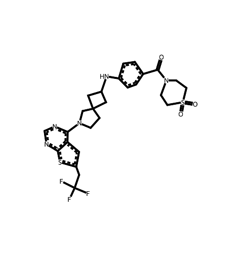 O=C(c1ccc(NC2CC3(CCN(c4ncnc5sc(CC(F)(F)F)cc45)C3)C2)cc1)N1CCS(=O)(=O)CC1